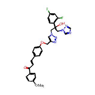 COc1ccc(C(=O)/C=C/c2ccc(OCc3cn(CC(O)(Cn4cncn4)c4ccc(F)cc4F)nn3)cc2)cc1